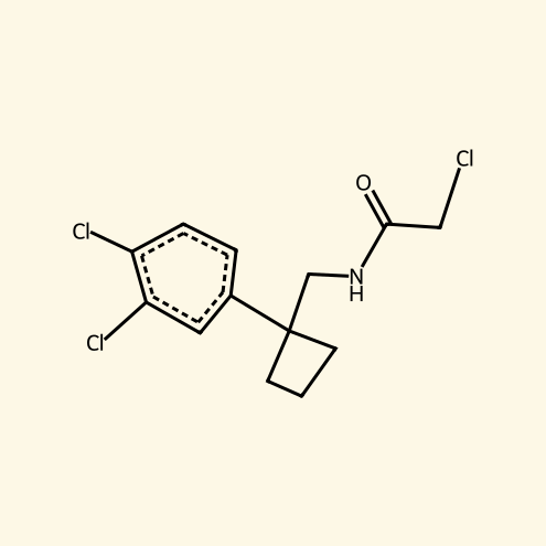 O=C(CCl)NCC1(c2ccc(Cl)c(Cl)c2)CCC1